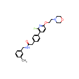 Cc1cccc(CNC(=O)Cc2ccc(-c3ccc(OCCN4CCOCC4)nc3F)cc2)c1